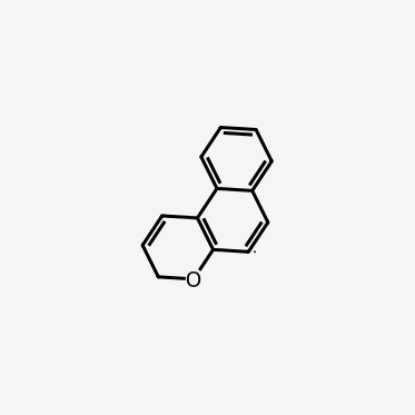 [c]1cc2ccccc2c2c1OCC=C2